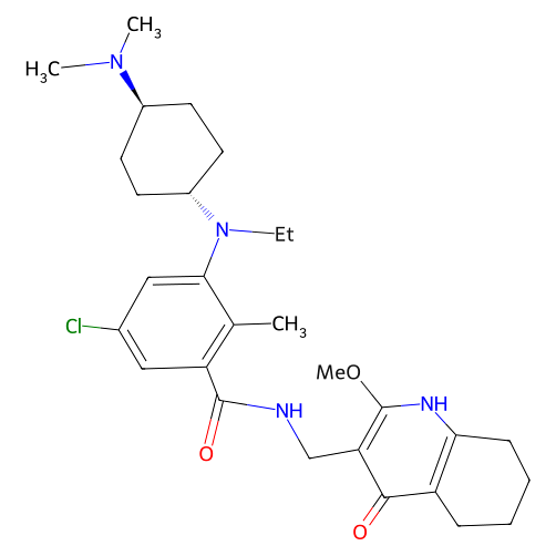 CCN(c1cc(Cl)cc(C(=O)NCc2c(OC)[nH]c3c(c2=O)CCCC3)c1C)[C@H]1CC[C@H](N(C)C)CC1